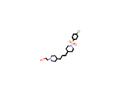 O=S(=O)(c1ccc(Cl)cc1)N1CCC(CCCC2CCN(CCO)CC2)CC1